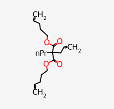 C=CCCCOC(=O)C(CC=C)(CCC)C(=O)OCCCC=C